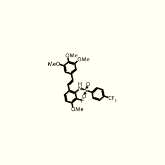 COc1ccc(C=Cc2cc(OC)c(OC)c(OC)c2)c(NS(=O)(=O)c2ccc(C(F)(F)F)cc2)c1F